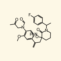 C=C(CC1(ON)CCCN(C(C)c2ccc(F)cc2)C1=O)c1ccc(N(C=O)CC(C)=O)c(OC)c1